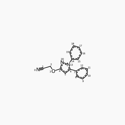 N#CCOc1cc(-c2ccccc2)n(-c2ccccc2)n1